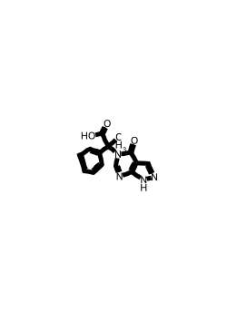 CC(C(=O)O)(c1ccccc1)n1cnc2[nH]ncc2c1=O